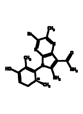 CC1=C(n2c(N)c(C(N)=O)c3nc(C)c(Br)nc32)[C@H](C)CC=C1O